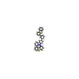 c1cc(-c2ccc3c(c2)c2ccccc2n3-c2cccc3sc4ccccc4c23)cc(-c2cccc3c2sc2ccccc23)c1